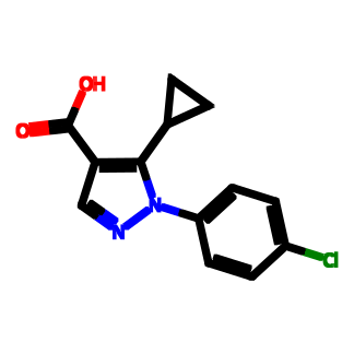 O=C(O)c1cnn(-c2ccc(Cl)cc2)c1C1CC1